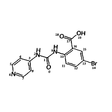 O=C(Nc1ccncc1)Nc1ccc(Br)cc1C(=O)O